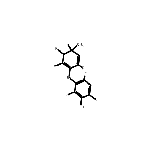 Cc1c(F)cc(F)c(BC2=C(F)C(F)C(C)(F)C=C2F)c1F